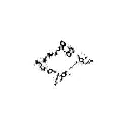 COc1cc2c(cc1OCCCCCOc1cc3c(cc1OC)C(=O)N1CC4(CC4)C[C@H]1[C@H](O)N3COCc1ccc(NC(=O)[C@H](C)NC(=O)[C@@H](NC(=O)CNC(=O)CNC(=O)CCC(=O)N3Cc4ccccc4-c4c(nnn4C(C)C)-c4ccccc43)C(C)C)cc1)NC[C@@H]1CC3(CC3)CN1C2=O